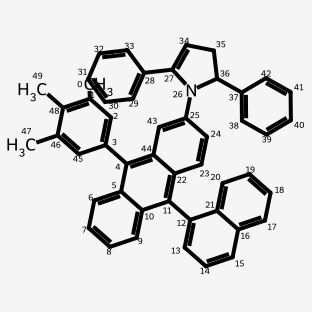 Cc1cc(-c2c3ccccc3c(-c3cccc4ccccc34)c3ccc(N4C(c5ccccc5)=CCC4c4ccccc4)cc23)cc(C)c1C